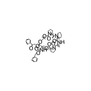 C=C([C@@H]1CCCN1C(=O)OC(C)(C)C)N1CCCC[C@H]1C(=O)N[C@@H](C)C(=O)N1CCC[C@H]1C(=O)OC[C@H](NC(=O)OCc1ccccc1)C(=O)OCC(=O)c1ccccc1